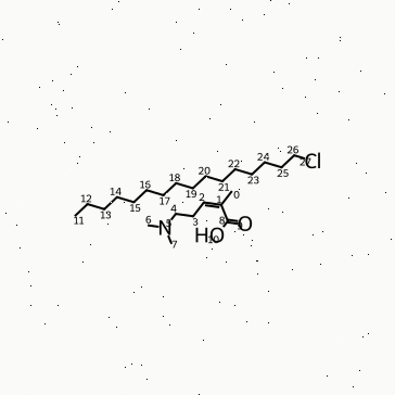 CC(=CCCN(C)C)C(=O)O.CCCCCCCCCCCCCCCCCl